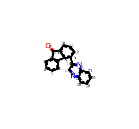 O=C1c2ccccc2-c2c1cccc2-c1cnc2ccccc2n1